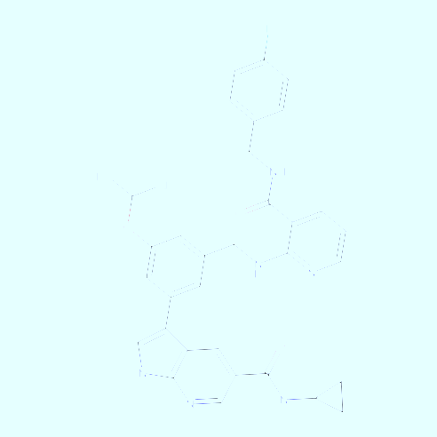 CC(C)Oc1cc(CNc2ncccc2C(=O)NCc2ccc(F)cc2)cc(-c2c[nH]c3ncc(C(=O)NC4CC4)cc23)c1